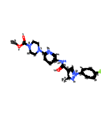 CC(C)(C)OC(=O)N1CCN(c2ccc(NC(=O)c3cn(-c4ccc(F)cc4)nc3C(F)(F)F)cn2)CC1